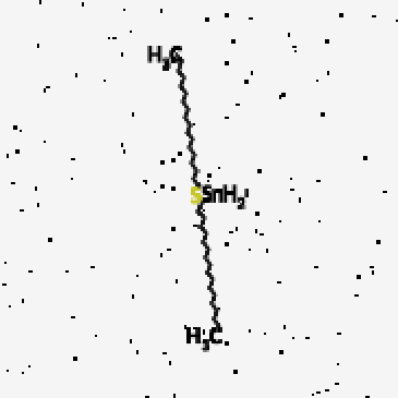 CCCCCCCCCCCCCCCCCCSCCCCCCCCCCCCCCCCCC.[SnH2]